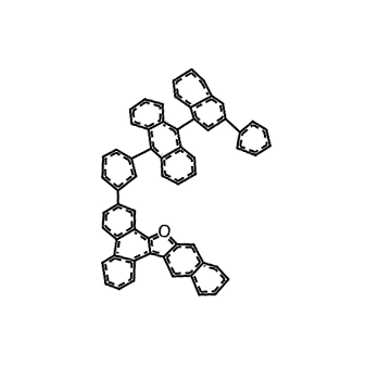 c1ccc(-c2cc(-c3c4ccccc4c(-c4cccc(-c5ccc6c7ccccc7c7c8cc9ccccc9cc8oc7c6c5)c4)c4ccccc34)c3ccccc3c2)cc1